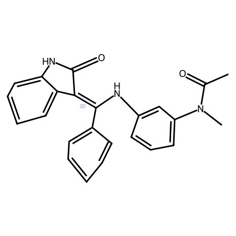 CC(=O)N(C)c1cccc(N/C(=C2\C(=O)Nc3ccccc32)c2ccccc2)c1